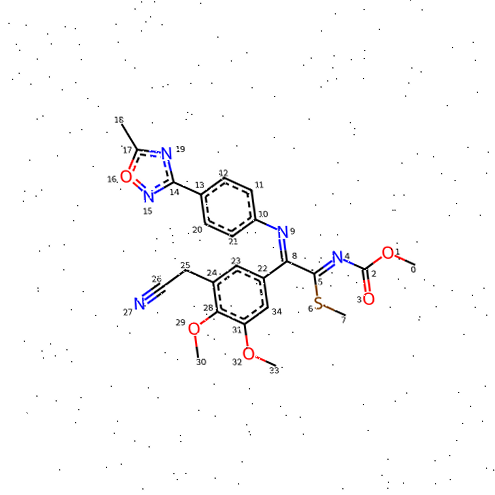 COC(=O)/N=C(SC)/C(=N/c1ccc(-c2noc(C)n2)cc1)c1cc(CC#N)c(OC)c(OC)c1